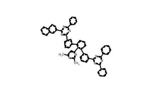 Cc1cc(-c2c(-c3cccc(-c4nc(-c5ccccc5)nc(-c5ccccc5)n4)c3)cccc2-c2cccc(-c3nc(-c4ccccc4)nc(-c4ccc5ccccc5c4)n3)c2)nc(C)n1